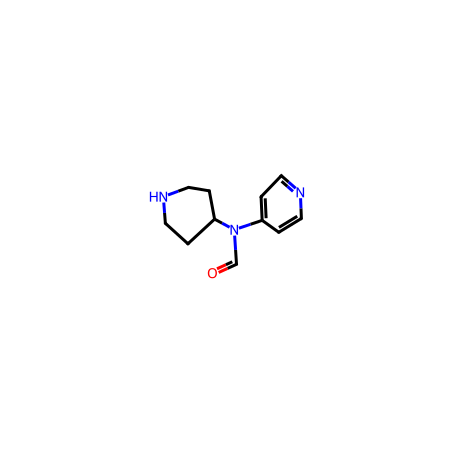 O=CN(c1ccncc1)C1CCNCC1